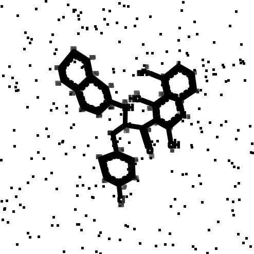 CCCc1cccc2nc(O)c(C(=O)C(Cc3ccc(Cl)cc3)Nc3ccc4ccccc4c3)c(O)c12